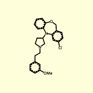 COc1cccc(CCN2CCC(N3c4cc(Cl)ccc4COc4ccccc43)C2)c1